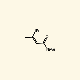 CNC(=O)/C=C(/C)C(C)C